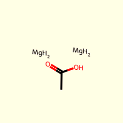 CC(=O)O.[MgH2].[MgH2]